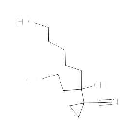 CCCCCCC(C)(CCC)C1(C#N)CC1